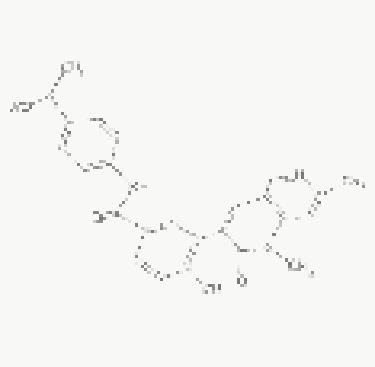 Cc1cc2c(cn1)cc(-c1cc(C(=O)Nc3ccc(C(C)O)cc3)ccc1C)c(=O)n2C